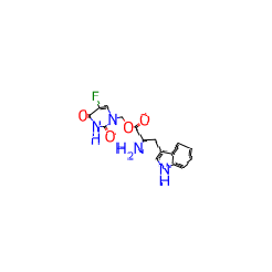 N[C@@H](Cc1c[nH]c2ccccc12)C(=O)OCn1cc(F)c(=O)[nH]c1=O